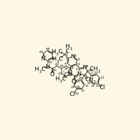 CCOc1cc(C(C)(C)C)ncc1C1=N[C@@](C)(c2ccc(Cl)cc2)[C@@](C)(c2ccc(Cl)cc2)N1C(=O)N1CCC(CC(=O)N(C)c2ccccn2)CC1